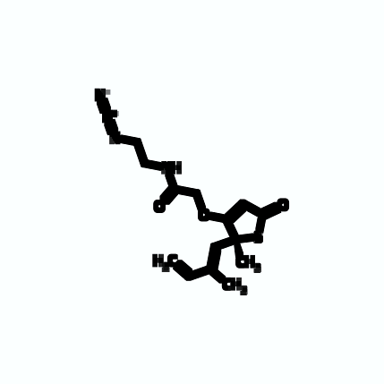 C=C/C(C)=C/[C@@]1(C)SC(=O)C=C1OCC(=O)NCCN=[N+]=[N-]